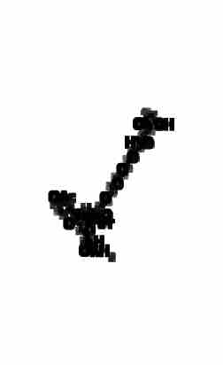 CC(=O)OCc1ccc(NC(=O)[C@H](CCCNC(N)=O)NC(=O)C(NC(=O)CCOCCOCCOCCOCCNC(=O)CCN2C(=O)C=CC2O)C(C)C)cc1